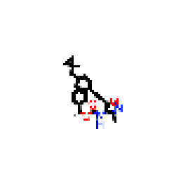 Cc1noc(C#Cc2ccc(CC3(C)CC3)cc2)c1NC(=O)O[C@H](C)c1ccccc1